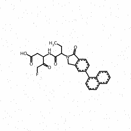 CCC(C(=O)NC(CC(=O)O)C(=O)CF)N1Cc2cc(-c3cccc4ccccc34)ccc2C1=O